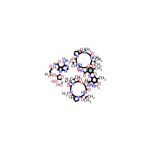 C=CC=O.Cc1c2oc3c(C)ccc(C(=O)N[C@@H]4C(=O)N[C@H](C(C)C)C(=O)N5CCC[C@H]5C(=O)N(C)CC(=O)N(C)[C@@H](C(C)C)C(=O)O[C@@H]4C)c3nc-2c(C(=O)N[C@@H]2C(=O)N[C@H](C(C)C)C(=O)N3CCC[C@H]3C(=O)N(C)CC(=O)N(C)[C@@H](C(C)C)C(=O)O[C@@H]2C)c(N)c1=O.NC(=O)c1cn([C@@H]2O[C@H](CO)[C@@H](O)[C@H]2O)c2ncnc(N)c12